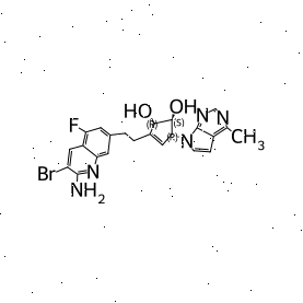 Cc1ncnc2c1ccn2[C@@H]1C=C(CCc2cc(F)c3cc(Br)c(N)nc3c2)[C@@H](O)[C@H]1O